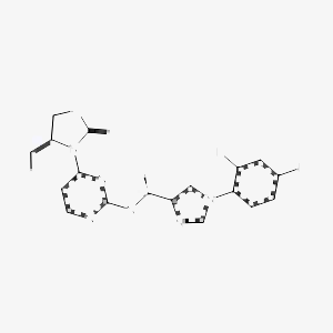 C[C@H](Nc1nccc(N2C(=O)OC/C2=C/F)n1)c1cn(-c2ccc(F)cc2F)cn1